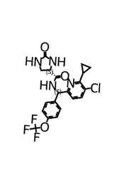 O=C1NC[C@@H](C(=O)N[C@@H](c2ccc(OC(F)(F)F)cc2)c2ccc(Cl)c(C3CC3)n2)N1